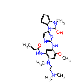 C=CC(=O)Nc1cc(Nc2nccc(N3c4ccccc4N(C)C3O)n2)c(OC)cc1N(C)CCN(C)C